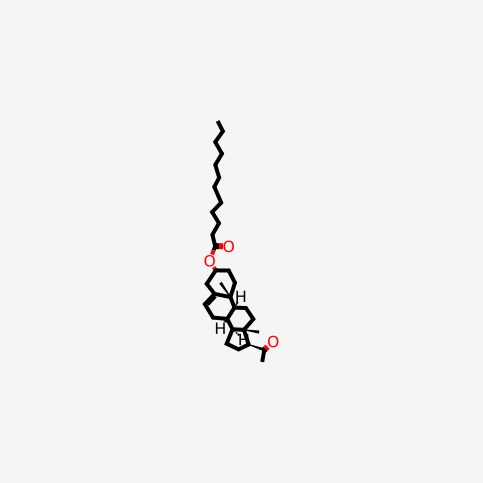 CCCCCCCCCCCC(=O)OC1CC[C@@]2(C)C(=CC[C@H]3[C@@H]4CC[C@H](C(C)=O)[C@@]4(C)CC[C@@H]32)C1